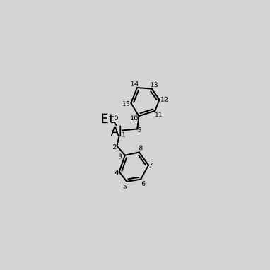 C[CH2][Al]([CH2]c1ccccc1)[CH2]c1ccccc1